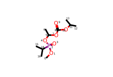 COP(=O)(OC(C)OC(=O)OC(C)C)C(C)C